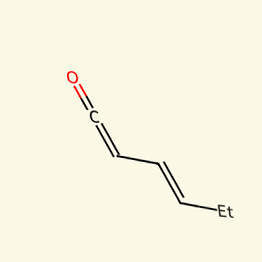 CCC=CC=C=O